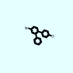 Clc1ccc(-c2ccc(Br)cc2-c2ccccc2)cc1